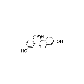 Oc1ccc(O)c(-c2ccc3cc(O)ccc3c2O)c1